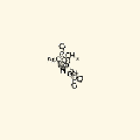 CC(=O)O[C@H]1[C@H](OCc2ccccc2)[C@@H](C)OC(OCCCN(Cc2ccccc2)C(=O)OCc2ccccc2)[C@@H]1N=[N+]=[N-]